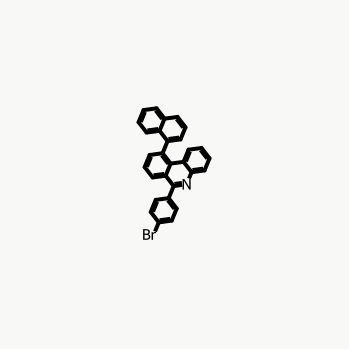 Brc1ccc(-c2nc3ccccc3c3c(-c4cccc5ccccc45)cccc23)cc1